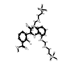 COC(=O)c1cccc(-c2nc3c(OCOCC[Si](C)(C)C)cccc3n(COCC[Si](C)(C)C)c2=O)c1F